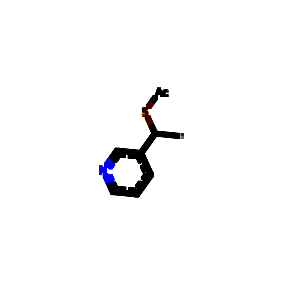 [CH]C(SC(C)=O)c1cccnc1